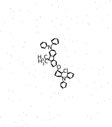 CC1(C)c2ccc(Oc3cccc(N(c4ccccc4)c4ccccc4)c3Cl)cc2-c2ccc(N(c3ccccc3)c3ccccc3)cc21